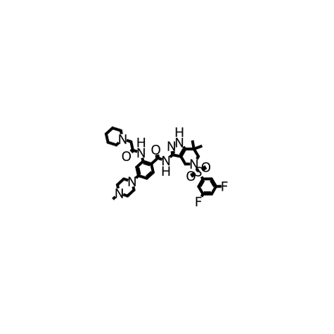 CN1CCN(c2ccc(C(=O)Nc3n[nH]c4c3CN(S(=O)(=O)c3cc(F)cc(F)c3)CC4(C)C)c(NC(=O)CN3CCCCC3)c2)CC1